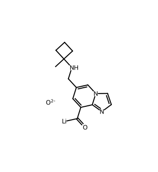 [Li][C](=O)c1cc(CNC2(C)CCC2)cn2ccnc12.[O-2]